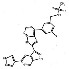 CS(=O)(=O)NCc1cc(F)cc(-c2ccnc3[nH]c(-c4n[nH]c5cnc(-c6cn[nH]c6)cc45)nc23)c1